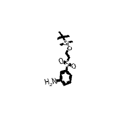 CC(C)(C)[Si](C)(C)OCCS(=O)(=O)c1cccc(N)c1